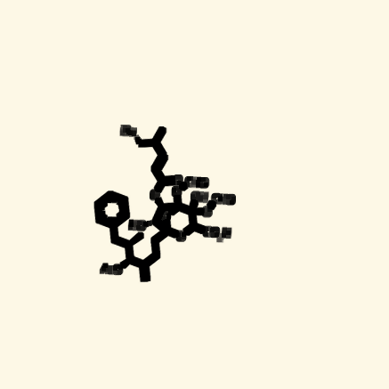 C=C(CCC12OC(C(=O)O)C(O)(OC=O)C(OC=O)(O1)[C@H](OC(=O)/C=C/C(C)C[C@@H](C)CC)[C@H]2O)[C@@H](OC(C)=O)[C@H](C)Cc1ccccc1